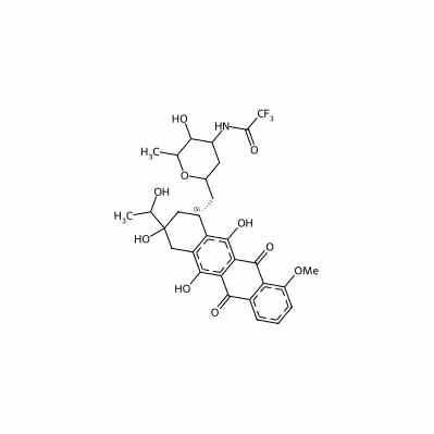 COc1cccc2c1C(=O)c1c(O)c3c(c(O)c1C2=O)CC(O)(C(C)O)C[C@@H]3CC1CC(NC(=O)C(F)(F)F)C(O)C(C)O1